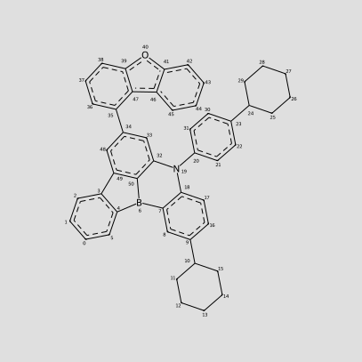 c1ccc2c(c1)B1c3cc(C4CCCCC4)ccc3N(c3ccc(C4CCCCC4)cc3)c3cc(-c4cccc5oc6ccccc6c45)cc-2c31